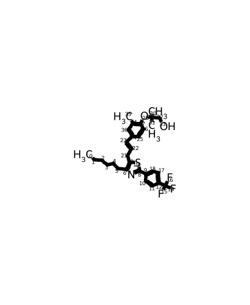 CCCCCCc1nc(-c2ccc(C(F)(F)F)cc2)sc1CC=Cc1ccc(OC(C)(C)CO)c(C)c1